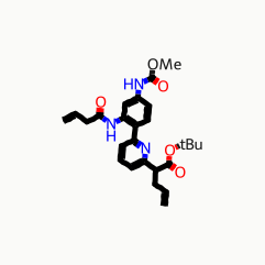 C=CCC(=O)Nc1cc(NC(=O)OC)ccc1-c1cccc(C(CC=C)C(=O)OC(C)(C)C)n1